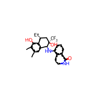 CC[C@@H]1C[C@](O)(C(F)(F)F)[C@@H](Nc2cccc3c(=O)[nH]ccc23)c2cc(C)c(C)c(O)c21